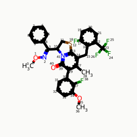 CON=C(c1ccccc1)C1CSc2c(Cc3c(F)cccc3C(F)(F)F)c(C)c(-c3cccc(OC)c3F)c(=O)n21